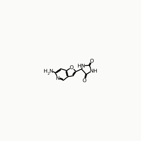 Nc1cc2oc(C3NC(=O)NC3=O)cc2cn1